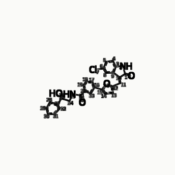 O=C1Nc2ccc(Cl)cc2/C1=C\c1ccc(-c2cccc(C(=O)NCC(O)c3ccccc3)c2)o1